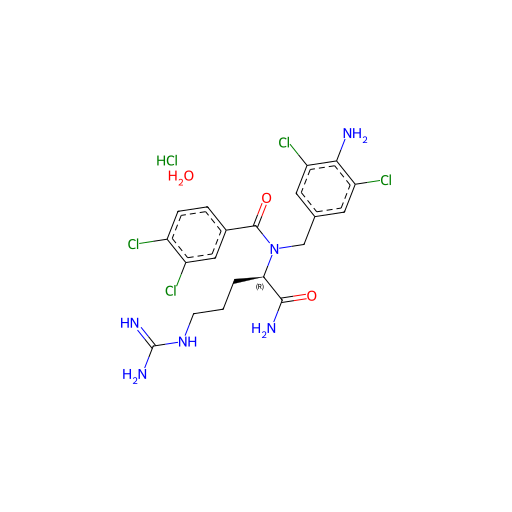 Cl.N=C(N)NCCC[C@H](C(N)=O)N(Cc1cc(Cl)c(N)c(Cl)c1)C(=O)c1ccc(Cl)c(Cl)c1.O